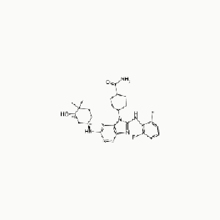 CC1(C)CC[C@@H](Nc2ncc3nc(Nc4c(F)cccc4F)n(C4CCC(C(N)=O)CC4)c3n2)C[C@H]1O